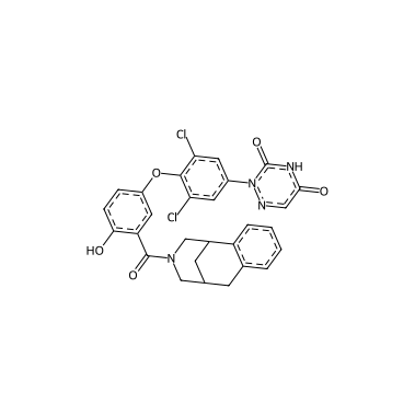 O=C(c1cc(Oc2c(Cl)cc(-n3ncc(=O)[nH]c3=O)cc2Cl)ccc1O)N1CC2Cc3ccccc3C(C2)C1